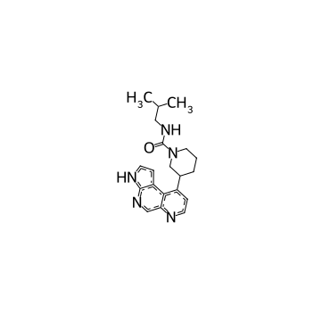 CC(C)CNC(=O)N1CCCC(c2ccnc3cnc4[nH]ccc4c23)C1